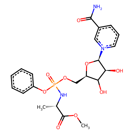 COC(=O)[C@H](C)NP(=O)(OC[C@H]1O[C@@H]([n+]2cccc(C(N)=O)c2)[C@@H](O)C1O)Oc1ccccc1